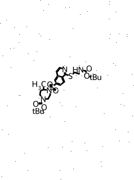 CC1CCN(C(=O)OC(C)(C)C)CCN1S(=O)(=O)c1ccc2c(SCCNC(=O)OC(C)(C)C)nccc2c1